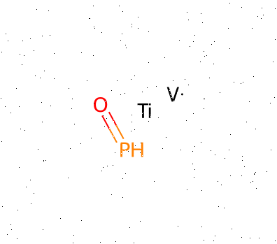 O=P.[Ti].[V]